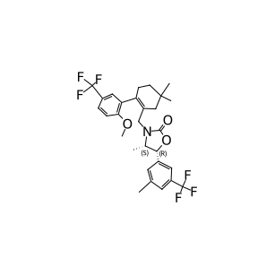 COc1ccc(C(F)(F)F)cc1C1=C(CN2C(=O)O[C@H](c3cc(C)cc(C(F)(F)F)c3)[C@@H]2C)CC(C)(C)CC1